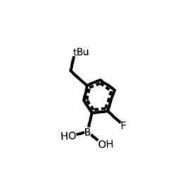 CC(C)(C)Cc1ccc(F)c(B(O)O)c1